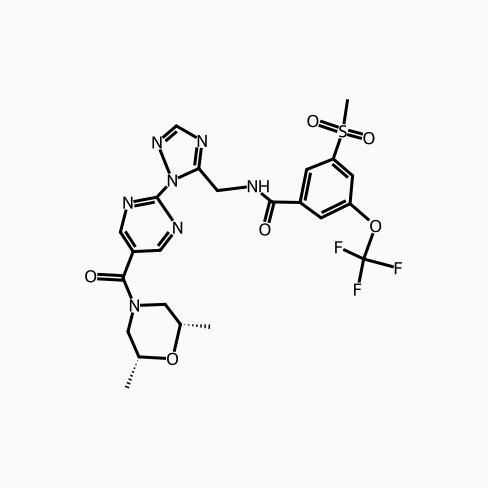 C[C@@H]1CN(C(=O)c2cnc(-n3ncnc3CNC(=O)c3cc(OC(F)(F)F)cc(S(C)(=O)=O)c3)nc2)C[C@H](C)O1